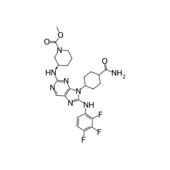 COC(=O)N1CCC[C@@H](Nc2ncc3nc(Nc4ccc(F)c(F)c4F)n(C4CCC(C(N)=O)CC4)c3n2)C1